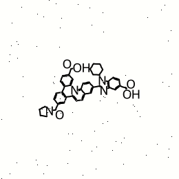 O=C(O)c1ccc(-c2ccc(C(=O)N3CCCC3)cc2-c2ccc3cc(-c4nc5cc(C(=O)O)ccc5n4C4CCCCC4)ccc3n2)cc1